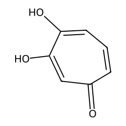 O=c1cccc(O)c(O)c1